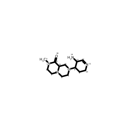 CN1CCN2CCN(C3CCN=CC3N)CC2C1=O